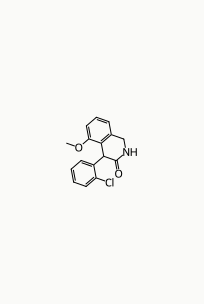 COc1cccc2c1C(c1ccccc1Cl)C(=O)NC2